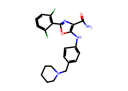 NC(=O)c1nc(C2=C(F)C=C=C=C2F)oc1Nc1ccc(CN2CCCCC2)cc1